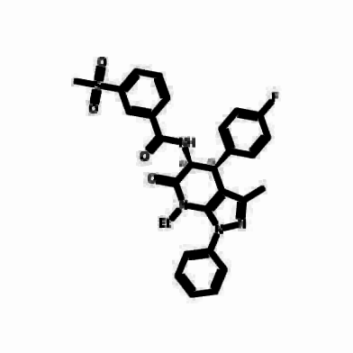 CCN1C(=O)[C@@H](NC(=O)c2cccc(S(C)(=O)=O)c2)[C@@H](c2ccc(F)cc2)c2c(C)nn(-c3ccccc3)c21